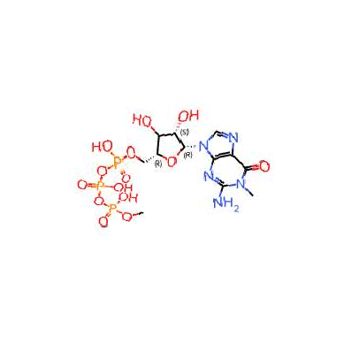 COP(=O)(O)OP(=O)(O)OP(=O)(O)OC[C@H]1O[C@@H](n2cnc3c(=O)n(C)c(N)nc32)[C@@H](O)C1O